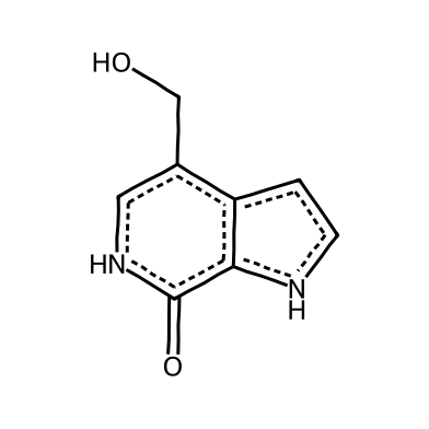 O=c1[nH]cc(CO)c2cc[nH]c12